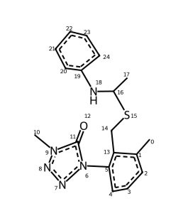 Cc1cccc(-n2nnn(C)c2=O)c1CSC(C)Nc1ccccc1